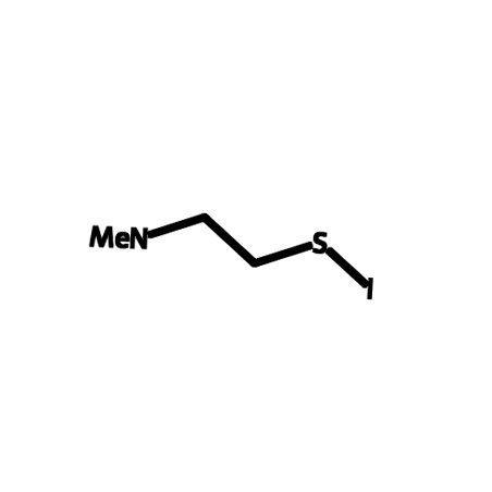 CNCCSI